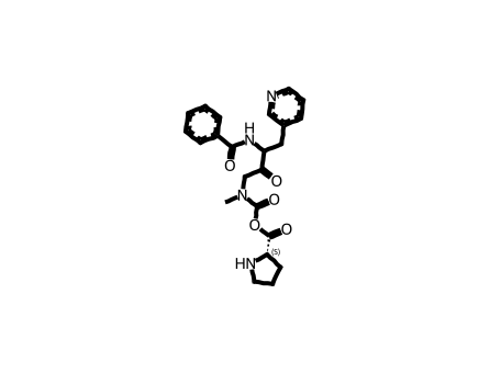 CN(CC(=O)C(Cc1cccnc1)NC(=O)c1ccccc1)C(=O)OC(=O)[C@@H]1CCCN1